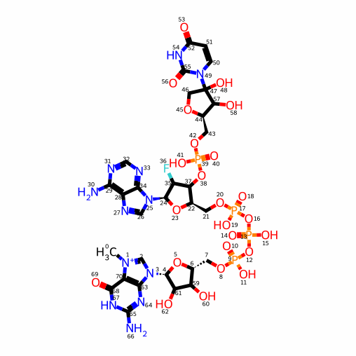 C[n+]1cn([C@@H]2O[C@H](COP(=O)(O)OP(=O)(O)OP(=O)(O)OC[C@H]3O[C@@H](n4cnc5c(N)ncnc54)C(F)C3OP(=O)(O)OC[C@H]3OCC(O)(n4ccc(=O)[nH]c4=O)C3O)C(O)C2O)c2nc(N)[nH]c(=O)c21